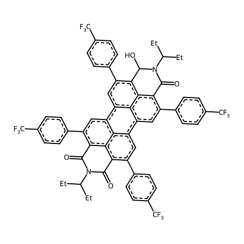 CCC(CC)N1C(=O)c2c(-c3ccc(C(F)(F)F)cc3)cc3c4cc(-c5ccc(C(F)(F)F)cc5)c5c6c(c(-c7ccc(C(F)(F)F)cc7)cc(c7cc(-c8ccc(C(F)(F)F)cc8)c(c2c37)C1=O)c64)C(O)N(C(CC)CC)C5=O